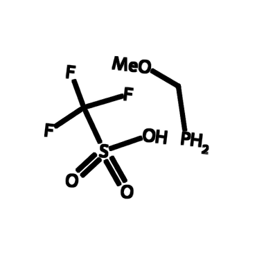 COCP.O=S(=O)(O)C(F)(F)F